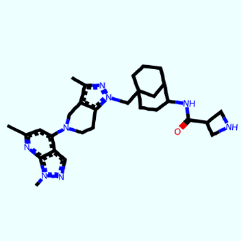 Cc1cc(N2CCc3c(c(C)nn3CC34CCCC(C3)C(NC(=O)C3CNC3)CC4)C2)c2cnn(C)c2n1